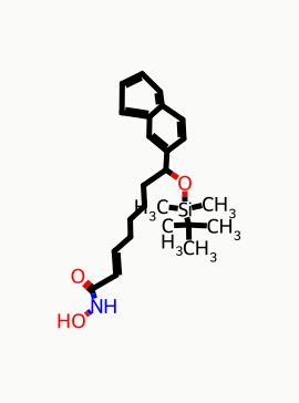 CC(C)(C)[Si](C)(C)OC(CCCC/C=C/C(=O)NO)c1ccc2ccccc2c1